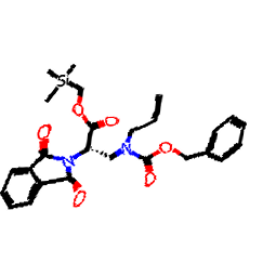 C=CCN(C[C@@H](C(=O)OC[Si](C)(C)C)N1C(=O)c2ccccc2C1=O)C(=O)OCc1ccccc1